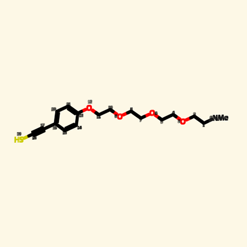 CNCCOCCOCCOCCOc1ccc(C#CS)cc1